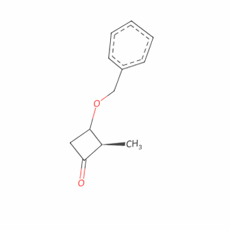 C[C@H]1C(=O)CC1OCc1ccccc1